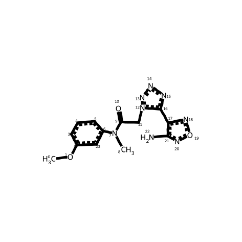 COc1cccc(N(C)C(=O)Cn2nnnc2-c2nonc2N)c1